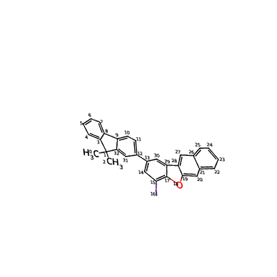 CC1(C)c2ccccc2-c2ccc(-c3cc(I)c4oc5cc6ccccc6cc5c4c3)cc21